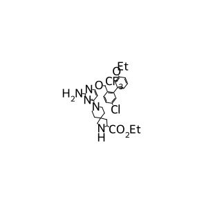 CCOC(=O)[C@@H]1CC2(CCN(c3cc(O[C@H](c4ccc(Cl)cc4-c4cccc(OCC)c4)C(F)(F)F)nc(N)n3)CC2)CN1